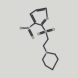 O=[N+]([O-])c1cccnc1S(=O)(=O)CCN1CCCCC1